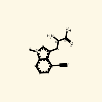 C#Cc1cccc2c1c(CC(N)C(=O)O)cn2C